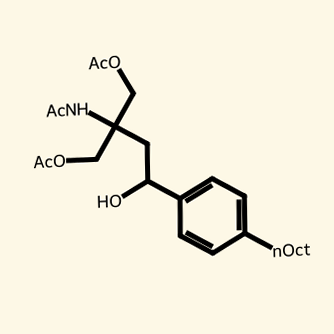 CCCCCCCCc1ccc(C(O)CC(COC(C)=O)(COC(C)=O)NC(C)=O)cc1